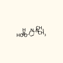 CN(C)c1ccc(OBO)cn1